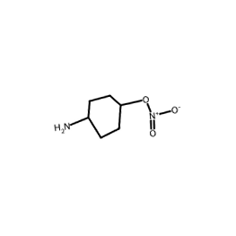 NC1CCC(O[N+](=O)[O-])CC1